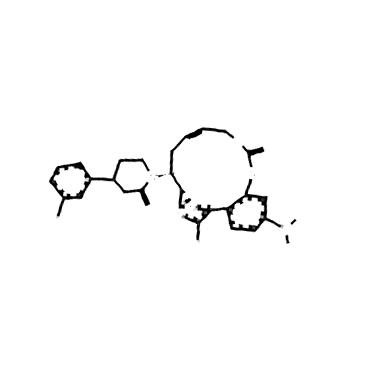 CN(C(=O)O)c1ccc2c(c1)NC(=O)CCC=CC[C@H](N1CCC(c3cccc(Cl)c3)CC1=O)c1nc-2c(Cl)[nH]1